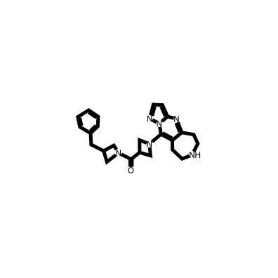 O=C(C1CN(c2c3c(nc4ccnn24)CCNCC3)C1)N1CC(Cc2ccccc2)C1